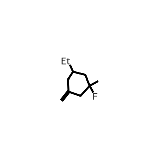 C=C1CC(CC)CC(C)(F)C1